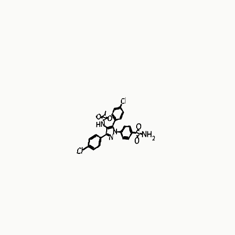 CS(=O)(=O)Nc1c(-c2ccc(Cl)cc2)nn(-c2ccc(S(N)(=O)=O)cc2)c1-c1ccc(Cl)cc1